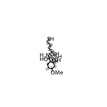 COC1CCC(C(N)(O)S(S)(S)(S)(S)SSSSSS)CC1